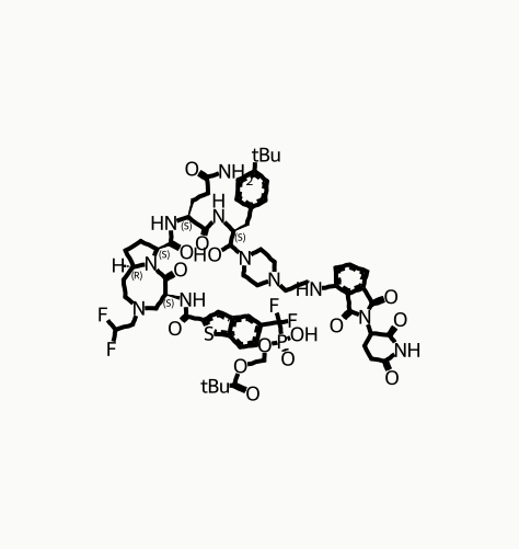 CC(C)(C)C(=O)OCOP(=O)(O)C(F)(F)c1ccc2sc(C(=O)N[C@H]3CN(CC(F)F)CC[C@H]4CC[C@@H](C(=O)N[C@@H](CCC(N)=O)C(=O)N[C@@H](Cc5ccc(C(C)(C)C)cc5)C(O)N5CCN(CCNc6cccc7c6C(=O)N(C6CCC(=O)NC6=O)C7=O)CC5)N4C3=O)cc2c1